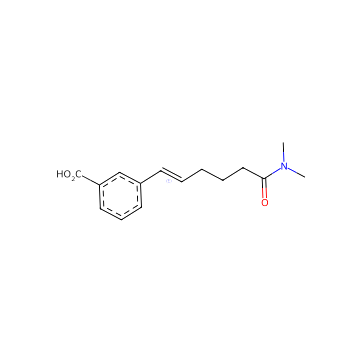 CN(C)C(=O)CCC/C=C/c1cccc(C(=O)O)c1